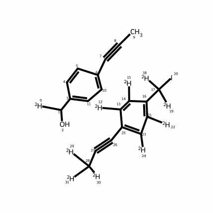 [2H]C(O)c1ccc(C#CC)cc1.[2H]c1c([2H])c(C([2H])([2H])I)c([2H])c([2H])c1C#CC([2H])([2H])[2H]